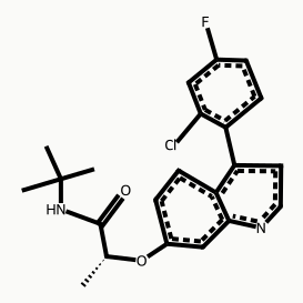 C[C@@H](Oc1ccc2c(-c3ccc(F)cc3Cl)ccnc2c1)C(=O)NC(C)(C)C